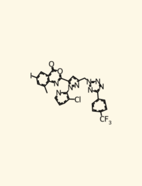 Cc1cc(I)cc2c(=O)oc(-c3cc(Cn4nnc(-c5ccc(C(F)(F)F)cc5)n4)nn3-c3ncccc3Cl)nc12